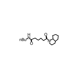 CCCCNC(=O)CCCCC(=O)N1CCCC2CCCCC21